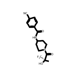 C[C@@](O)(C(=O)N1CCC(NC(=O)c2ccc(C#N)cc2)CC1)C(F)(F)F